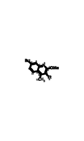 CCc1c(OC)nc2cc(Br)ccc2c1C